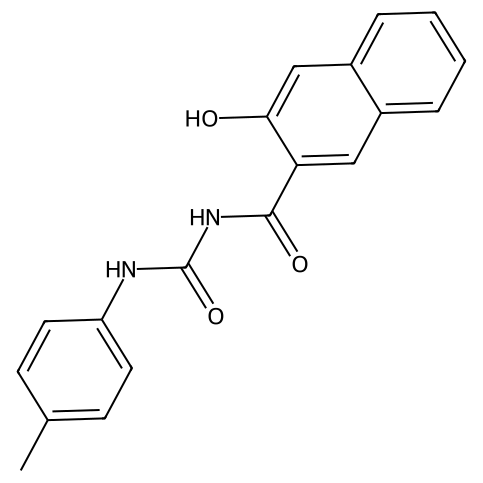 Cc1ccc(NC(=O)NC(=O)c2cc3ccccc3cc2O)cc1